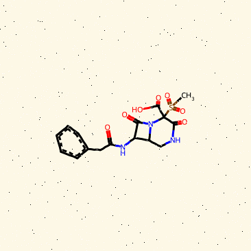 CS(=O)(=O)C1(C(=O)O)C(=O)NCC2C(NC(=O)Cc3ccccc3)C(=O)N21